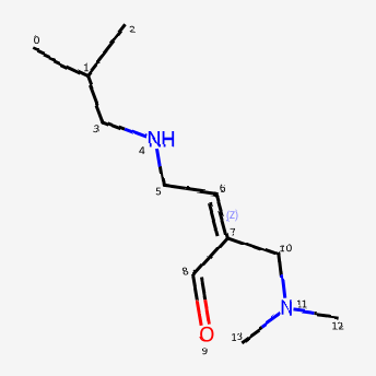 CC(C)CNC/C=C(\C=O)CN(C)C